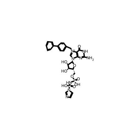 Nc1nc2c(c(=O)[nH]1)[n+](Cc1ccc(-c3ccccc3)cc1)cn2[C@@H]1O[C@H](COP(=O)(O)NP(=O)(O)n2ccnc2)[C@@H](O)[C@H]1O